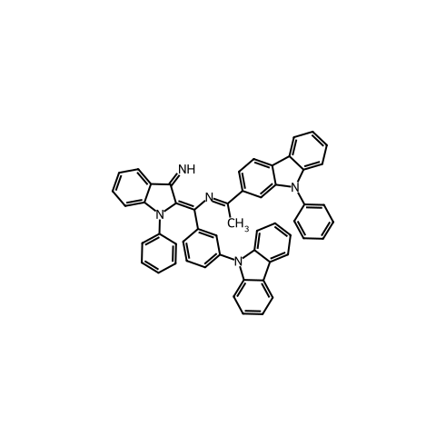 C/C(=N\C(=C1/C(=N)c2ccccc2N1c1ccccc1)c1cccc(-n2c3ccccc3c3ccccc32)c1)c1ccc2c3ccccc3n(-c3ccccc3)c2c1